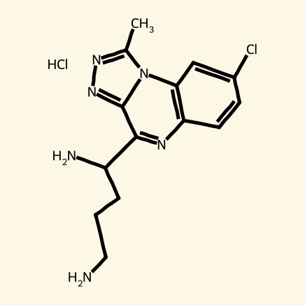 Cc1nnc2c(C(N)CCCN)nc3ccc(Cl)cc3n12.Cl